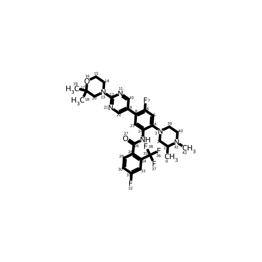 CC1CN(c2cc(F)c(-c3cnc(N4CCOC(C)(C)C4)nc3)cc2NC(=O)c2ccc(F)cc2C(F)(F)F)CCN1C